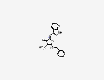 O=C(O)C1=C(NCc2ccccc2)O/C(=C\c2c[nH]c3ncccc23)C1=O